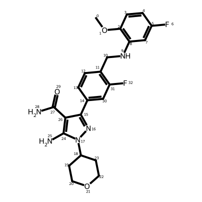 COc1ccc(F)cc1NCc1ccc(-c2nn(C3CCOCC3)c(N)c2C(N)=O)cc1F